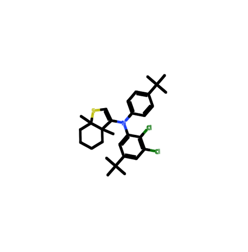 CC(C)(C)c1ccc(N(C2=CSC3(C)CCCCC23C)c2cc(C(C)(C)C)cc(Cl)c2Cl)cc1